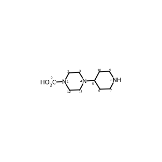 O=C(O)N1CCN(C2CCNCC2)CC1